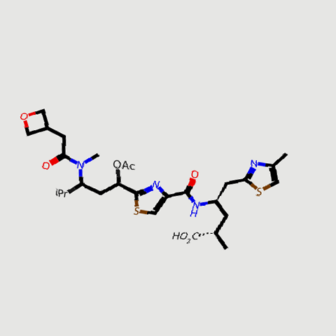 CC(=O)OC(CC(C(C)C)N(C)C(=O)CC1COC1)c1nc(C(=O)N[C@@H](Cc2nc(C)cs2)C[C@H](C)C(=O)O)cs1